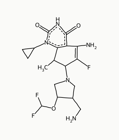 CC1c2c(c(=O)[nH]c(=O)n2C2CC2)C(N)=C(F)C1N1CC(CN)C(OC(F)F)C1